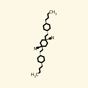 CCCC[C@H]1CC[C@H](CC[C@]2(C#N)CC[C@@](C#N)(CC[C@H]3CC[C@H](CCCC)CC3)CC2)CC1